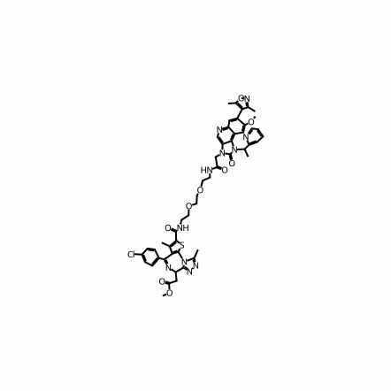 COC(=O)CC1N=C(c2ccc(Cl)cc2)c2c(sc(C(=O)NCCOCCOCCNC(=O)Cn3c(=O)n(C(C)c4ccccn4)c4c5cc(OC)c(-c6c(C)noc6C)cc5ncc43)c2C)-n2c(C)nnc21